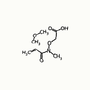 C=CC(=O)N(C)OCC(=O)O.COC